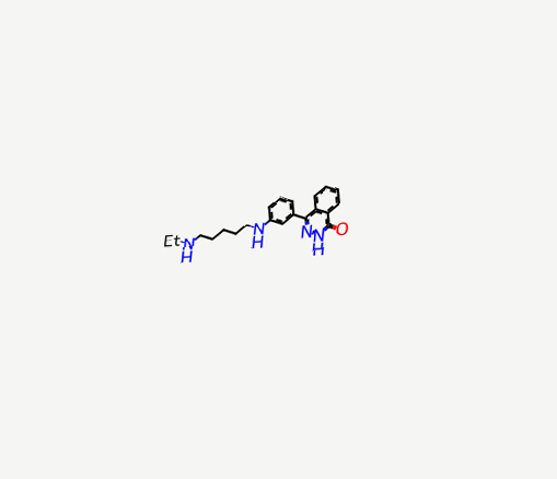 CCNCCCCCNc1cccc(-c2n[nH]c(=O)c3ccccc23)c1